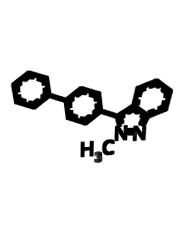 Cn1nc2ccccc2c1-c1ccc(-c2ccccc2)cc1